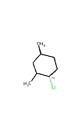 CC1CC[C@H](Cl)C(C)C1